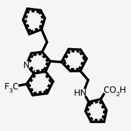 O=C(O)c1ccccc1NCc1cccc(-c2c(Cc3ccccc3)cnc3c(C(F)(F)F)cccc23)c1